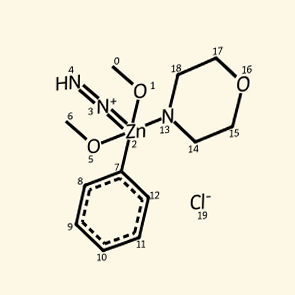 C[O][Zn](=[N+]=N)([O]C)([c]1ccccc1)[N]1CCOCC1.[Cl-]